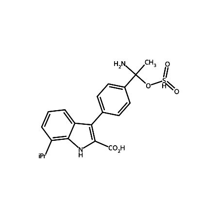 CC(C)c1cccc2c(-c3ccc(C(C)(N)O[SH](=O)=O)cc3)c(C(=O)O)[nH]c12